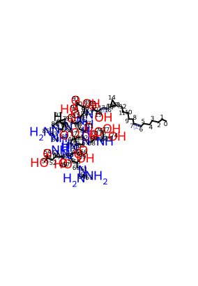 CCCCCC/C=C\CCCCC[C@@H]1C[C@H]1/C=C/C(O)C(=O)N[C@H](C(=O)N(C)[C@@H](CC(=O)O)C(=O)N(COC(C)(CC)C(NC(=O)C(NC(=O)[C@@H](N)CC(=O)O)C(O)C(O)CN=C(N)N)C(=O)NCC(=O)N[C@@H](CO)C(=O)O)[C@@]12C[C@@H]1CN(C(=N)N)C2=O)[C@H](O)C(=O)O